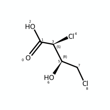 O=C(O)[C@@H](Cl)[C@H](O)CCl